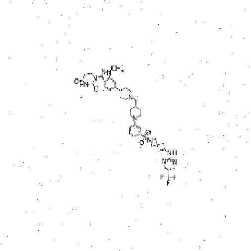 Cn1nc(N2CCC(=O)NC2=O)c2ccc(C3CCN(CC4CCN(c5cccc(S(=O)(=O)N6CC7(CC(Nc8ncc(C(F)(F)F)cn8)C7)C6)c5)CC4)CC3)cc21